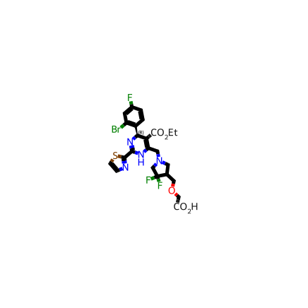 CCOC(=O)C1=C(CN2CC(COCC(=O)O)C(F)(F)C2)NC(c2nccs2)=N[C@H]1c1ccc(F)cc1Br